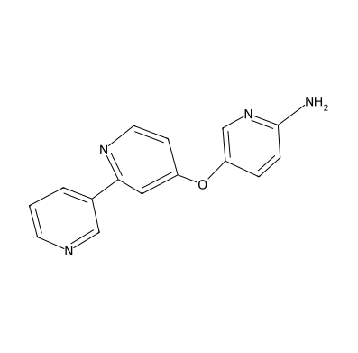 Nc1ccc(Oc2ccnc(-c3cc[c]nc3)c2)cn1